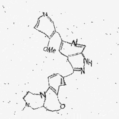 COc1ccncc1-c1cc2c(-c3ccc4c(c3)OCC3CN(C)CCN43)n[nH]c2cn1